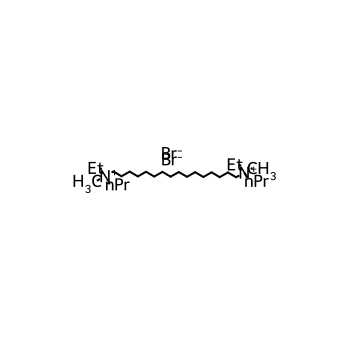 CCC[N+](C)(CC)CCCCCCCCCCCCCCCC[N+](C)(CC)CCC.[Br-].[Br-]